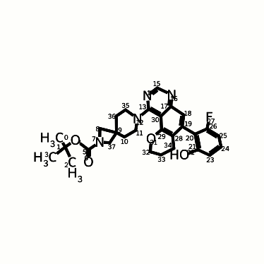 CC(C)(C)OC(=O)N1CC2(CCN(c3ncnc4cc(-c5c(O)cccc5F)c5c(c34)OCCC5)CC2)C1